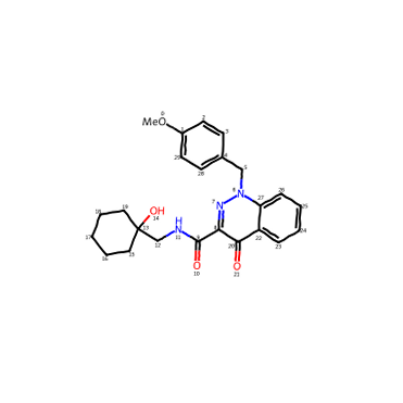 COc1ccc(Cn2nc(C(=O)NCC3(O)CCCCC3)c(=O)c3ccccc32)cc1